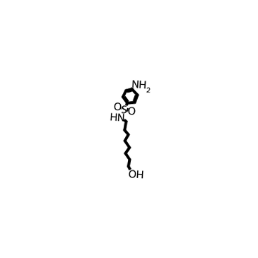 Nc1ccc(S(=O)(=O)NCCCCCCCCO)cc1